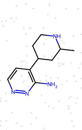 CC1CC(c2ccnnc2N)CCN1